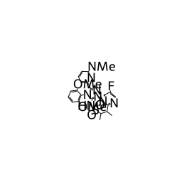 CNc1cccc(-c2nnc(NS(=O)(=O)C(C)C(C)c3ncc(F)cn3)n2-c2c(OC)cccc2OC)n1